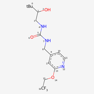 CC(C)(C)C(O)CNC(=O)NCc1ccnc(OCC(F)(F)F)c1